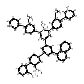 Cc1cc(C2=NC(c3cc(-c4ccc(-c5ccccc5C)c(C)c4)cc(-c4cccc5ccccc45)c3)=NC(c3ccc(-c4cccnc4)c(C)c3)N2C)ccc1-c1cccnc1